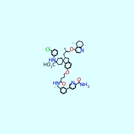 C[C@@H](COc1ccnc2c1[C@H](C)CCC2)C[C@H]1Cc2ccc(OCCCC(=O)N[C@@H](C)c3cccc(-c4ccc(C(N)=O)nc4)c3)cc2C12CCC(Nc1cccc(Cl)c1)(C(=O)O)CC2